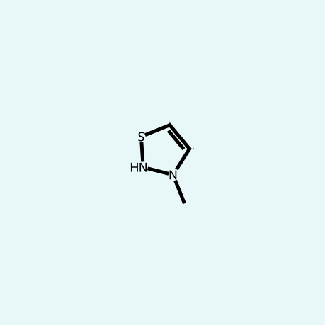 CN1[C]=[C]SN1